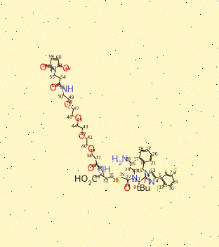 CC(C)(C)[C@H](c1nc(-c2cc(F)ccc2F)cn1Cc1ccccc1)N(CCCN)C(=O)CSCCC(NC(=O)CCOCCOCCOCCOCCNC(=O)CCN1C(=O)C=CC1=O)C(=O)O